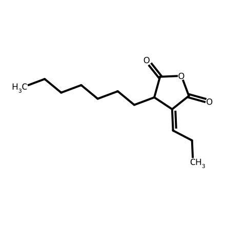 CCC=C1C(=O)OC(=O)C1CCCCCCC